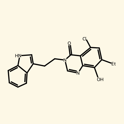 CCc1cc(Cl)c2c(=O)n(CCc3c[nH]c4ccccc34)cnc2c1O